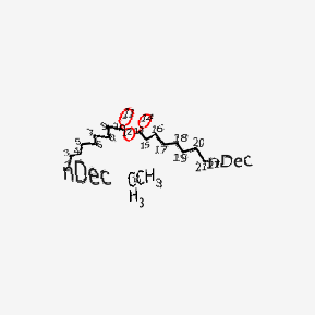 CC.CCCCCCCCCCCCCCCCCC(=O)OC(=O)CCCCCCCCCCCCCCCCC